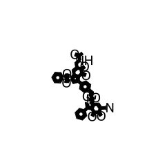 CC(=O)NCC1=Cc2c(c(-c3ccc(CS(=O)(=O)n4cc(-c5ccccc5)c5c4C=C(C#N)C(=O)C5=O)cc3)cn2S(=O)(=O)c2ccccc2)C(=O)C1=O